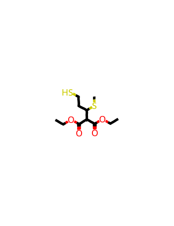 CCOC(=O)[C](C(=O)OCC)C(CCS)SC